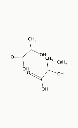 CC(O)C(=O)O.CC(O)C(=O)O.[CaH2]